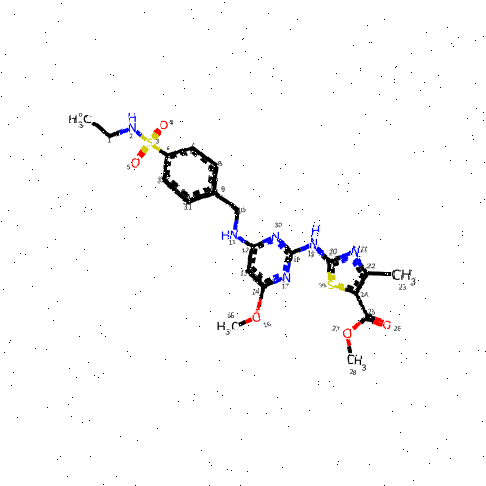 CCNS(=O)(=O)c1ccc(CNc2cc(OC)nc(Nc3nc(C)c(C(=O)OC)s3)n2)cc1